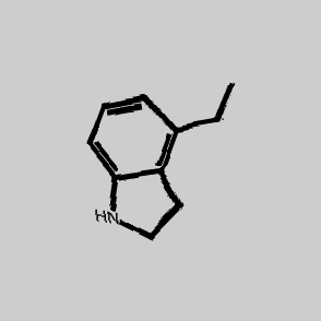 C[CH]c1cccc2c1CCN2